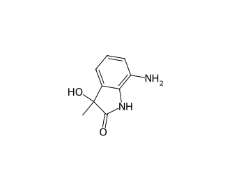 CC1(O)C(=O)Nc2c(N)cccc21